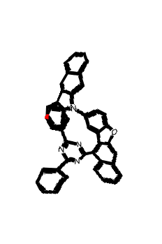 c1ccc(-c2nc(-c3ccccc3)nc(-c3c4ccccc4cc4oc5ccc(-n6c7ccccc7c7cc8ccccc8cc76)cc5c34)n2)cc1